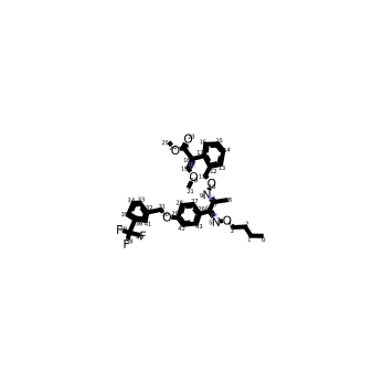 CCCCO/N=C(\C(C)=N\OCc1ccccc1/C(=C\OC)C(=O)OC)c1ccc(OCc2cccc(C(F)(F)F)c2)cc1